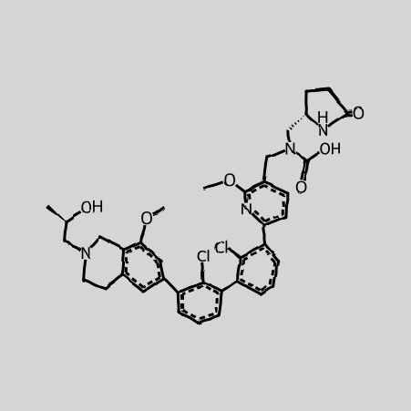 COc1cc(-c2cccc(-c3cccc(-c4ccc(CN(C[C@@H]5CCC(=O)N5)C(=O)O)c(OC)n4)c3Cl)c2Cl)cc2c1CN(C[C@@H](C)O)CC2